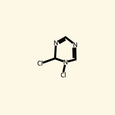 ClC1N=CN=CN1Cl